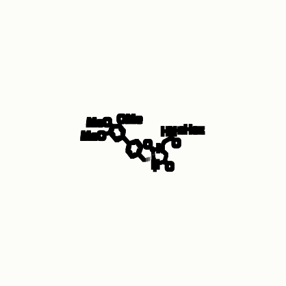 CCCCCCNC(=O)CN1CC(=O)N(C)[C@H](Cc2ccc(-c3cc(OC)c(OC)c(OC)c3)cc2)C1=O